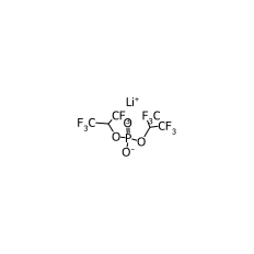 O=P([O-])(OC(C(F)(F)F)C(F)(F)F)OC(C(F)(F)F)C(F)(F)F.[Li+]